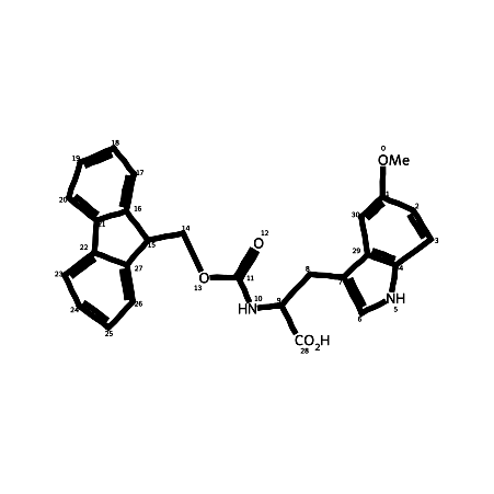 COc1ccc2[nH]cc(CC(NC(=O)OCC3c4ccccc4-c4ccccc43)C(=O)O)c2c1